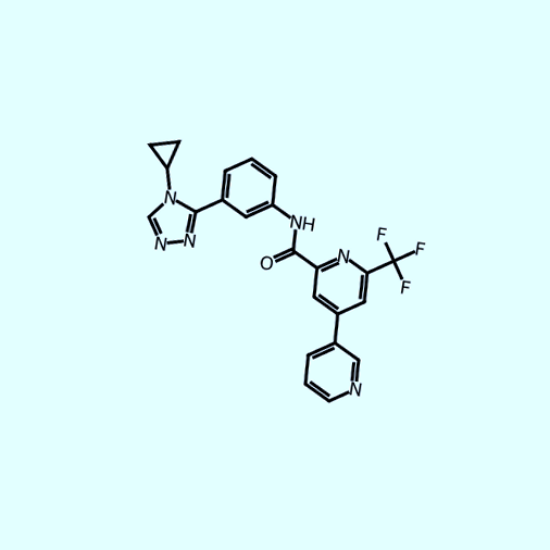 O=C(Nc1cccc(-c2nncn2C2CC2)c1)c1cc(-c2cccnc2)cc(C(F)(F)F)n1